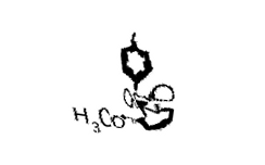 COC[C@H]1CCCN1S(=O)(=O)c1ccc(I)cc1